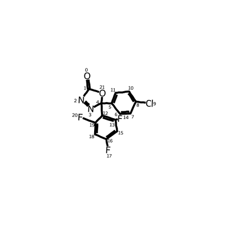 O=C1N=NC(c2ccc(Cl)cc2)(c2c(F)cc(F)cc2F)O1